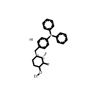 CCOC1CC[C@@H](Cc2ccc(P(c3ccccc3)c3ccccc3)cc2)[C@H](F)C1F.I